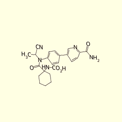 CC(C#N)N(C(=O)C1(NC(=O)O)CCCCC1)c1ccc(-c2ccc(C(N)=O)nc2)cc1